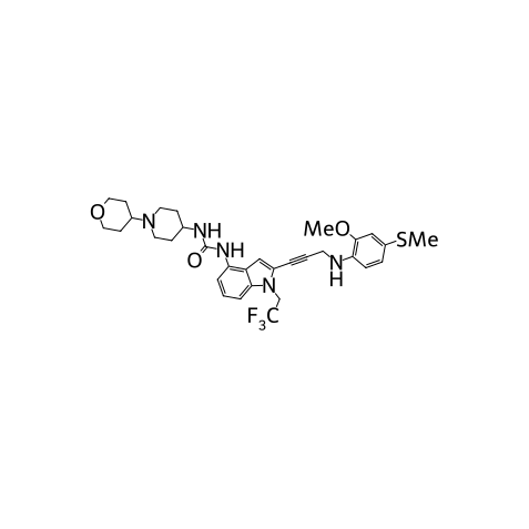 COc1cc(SC)ccc1NCC#Cc1cc2c(NC(=O)NC3CCN(C4CCOCC4)CC3)cccc2n1CC(F)(F)F